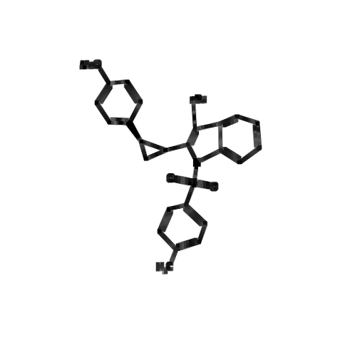 CCCCc1c(C2C[C@H]2c2ccc(OC)cc2)n(S(=O)(=O)c2ccc(C)cc2)c2ccccc12